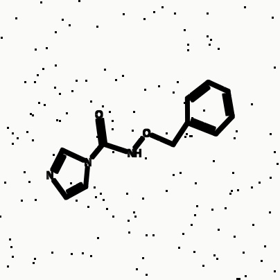 O=C(NOCc1ccccc1)n1ccnc1